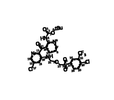 CC(C)(C)OC(=O)Nc1ncccc1C(=O)c1ncc(Cl)cc1NCOCS(=O)(=O)c1ccc(Cl)c(C(F)(F)F)c1